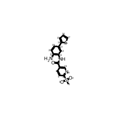 CS(=O)(=O)c1ccc(C(=O)Nc2cc(-c3cccs3)ccc2N)cn1